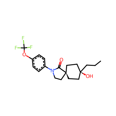 CCC[C@]1(O)CC[C@]2(CCN(c3ccc(OC(F)(F)F)cc3)C2=O)CC1